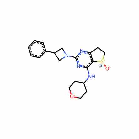 [O-][S@+]1CCc2nc(N3CC(c4ccccc4)C3)nc(NC3CCOCC3)c21